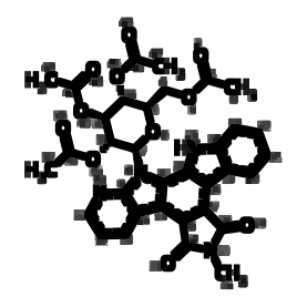 CC(=O)OC[C@H]1O[C@@H](n2c3ncccc3c3c4c(c5c6ccccc6[nH]c5c32)C(=O)N(C)C4=O)[C@H](OC(C)=O)[C@@H](OC(C)=O)[C@@H]1OC(C)=O